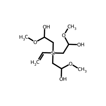 C=C[Si](CC(O)OC)(CC(O)OC)CC(O)OC